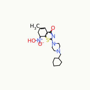 CC1=Cc2c(sc(N3CCN(CC4CCCCC4)CC3)nc2=O)/C(=[N+](\[O-])O)C1